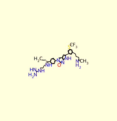 C=CC[C@@H](NCCCNC(=N)N)c1ccc(-n2cc3cc(-c4cc(CCC[C@H](C)N)cc(SC(F)(F)F)c4)[nH]c3nc2=O)cc1